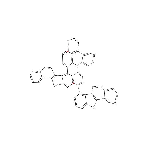 c1ccc(-c2ccccc2N(c2ccc(-c3cccc4oc5c6ccccc6ccc5c34)cc2)c2ccccc2-c2cccc3oc4c5ccccc5ccc4c23)cc1